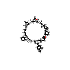 CC[C@H](C)[C@@H]1NC(=O)[C@H](CC(C)C)N(C)C(=O)C[C@@H](C)NC(=O)[C@H](CC)N(C)C(=O)C2(CCCC2)NC(=O)[C@@H]2CCCN2C(=O)[C@H](CCc2ccc(C(F)(F)F)c(F)c2)NC(=O)CN(C)C(=O)[C@H](CC2CCCCC2)N(C)C(=O)CN(C)C(=O)CN(C)C1=O